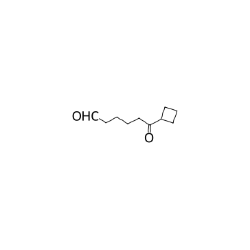 O=CCCCCC(=O)C1CCC1